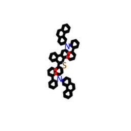 c1ccc(-c2ccccc2N(c2ccc3c(c2)sc2c4ccc(N(c5ccc6ccc7ccccc7c6c5)c5ccccc5-c5ccccc5)cc4c4ccccc4c32)c2ccc3ccc4ccccc4c3c2)cc1